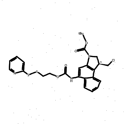 CC(C)(C)OC(=O)N1C[C@@H](CCl)c2c1cc(NC(=O)OCCSSc1ccccn1)c1ccccc21